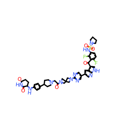 O=C1CCC(Nc2ccc(C3CCN(CC(=O)N4CC5(C4)CN(c4ncc(-c6cnc7[nH]cc(C(=O)c8c(F)ccc(NS(=O)(=O)N9CCCC9)c8F)c7c6)cn4)C5)CC3)cc2)C(=O)N1